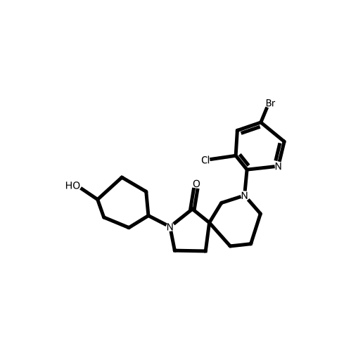 O=C1N(C2CCC(O)CC2)CCC12CCCN(c1ncc(Br)cc1Cl)C2